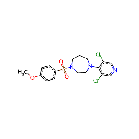 COc1ccc(S(=O)(=O)N2CCCN(c3c(Cl)cncc3Cl)CC2)cc1